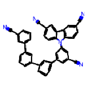 N#Cc1cccc(-c2cccc(-c3cccc(-c4cc(C#N)cc(-n5c6ccc(C#N)cc6c6cc(C#N)ccc65)c4)c3)c2)c1